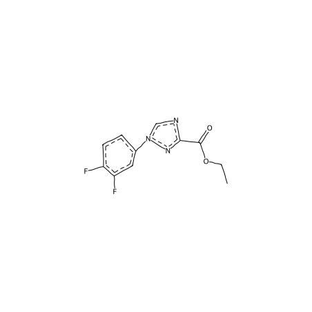 CCOC(=O)c1ncn(-c2ccc(F)c(F)c2)n1